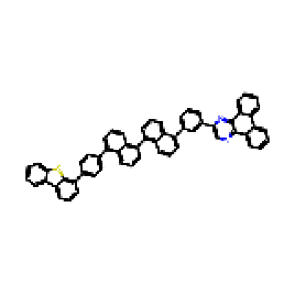 c1cc(-c2cnc3c4ccccc4c4ccccc4c3n2)cc(-c2cccc3c(-c4cccc5c(-c6ccc(-c7cccc8c7sc7ccccc78)cc6)cccc45)cccc23)c1